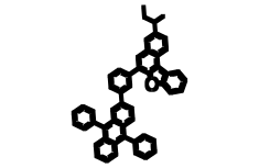 CCC(C)c1ccc2c(c1)cc(-c1cccc(-c3ccc4c(-c5ccccc5)c5ccccc5c(-c5ccccc5)c4c3)c1)c1oc3ccccc3c12